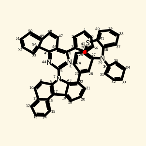 c1ccc(-c2nc(-n3c4ccc5ccccc5c4c4cccc(-c5ccc6c(c5)N(c5ccccc5)c5ccccc5S6)c43)nc3c2ccc2ccccc23)cc1